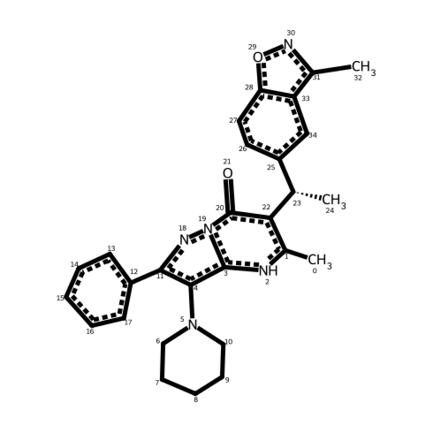 Cc1[nH]c2c(N3CCCCC3)c(-c3ccccc3)nn2c(=O)c1[C@@H](C)c1ccc2onc(C)c2c1